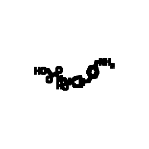 NCc1ccc(CN2CCN(C(=O)CNC(=O)C(=O)CO)CC2)cc1